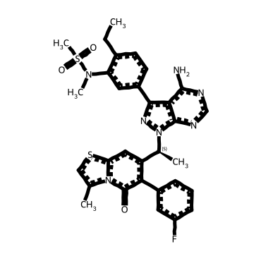 CCc1ccc(-c2nn([C@@H](C)c3cc4scc(C)n4c(=O)c3-c3cccc(F)c3)c3ncnc(N)c23)cc1N(C)S(C)(=O)=O